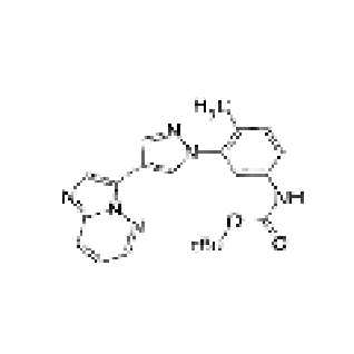 Cc1ccc(NC(=O)OC(C)(C)C)cc1-n1cc(-c2cnc3cccnn23)cn1